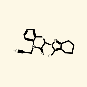 C#CCN1C(=O)C(n2nc3c(c2Cl)CCCC3)Oc2ccccc21